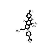 CCCc1cc2c(cc1N1CCN(C3COC3)CC1)C(C)(C)c1[nH]c3cc(N)ccc3c1C2=O